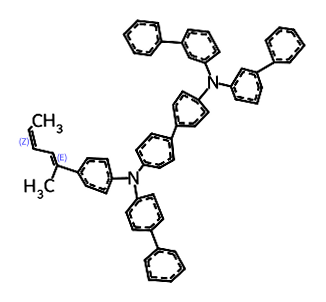 C/C=C\C=C(/C)c1ccc(N(c2ccc(-c3ccccc3)cc2)c2ccc(-c3ccc(N(c4cccc(-c5ccccc5)c4)c4cccc(-c5ccccc5)c4)cc3)cc2)cc1